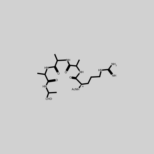 CC(=O)N[C@H](CCCNC(=N)N)C(=O)NC(C)C(=O)NC(C)C(=O)NC(C)C(=O)NC(C)[C]=O